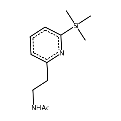 CC(=O)NCCc1cccc([Si](C)(C)C)n1